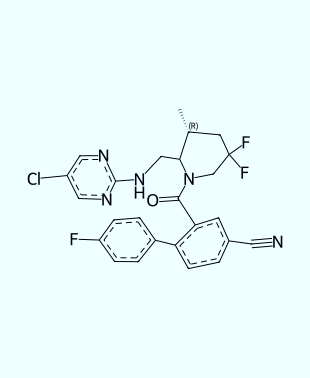 C[C@@H]1CC(F)(F)CN(C(=O)c2cc(C#N)ccc2-c2ccc(F)cc2)C1CNc1ncc(Cl)cn1